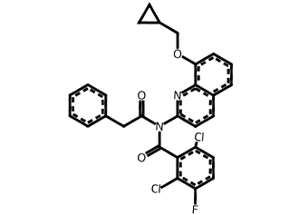 O=C(Cc1ccccc1)N(C(=O)c1c(Cl)ccc(F)c1Cl)c1ccc2cccc(OCC3CC3)c2n1